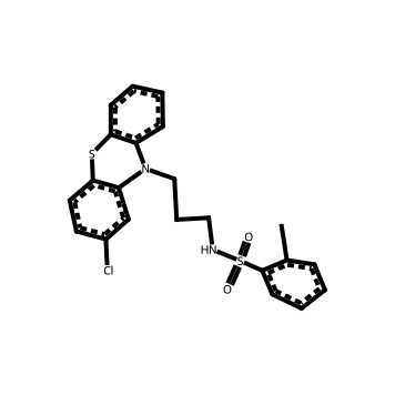 Cc1ccccc1S(=O)(=O)NCCCN1c2ccccc2Sc2ccc(Cl)cc21